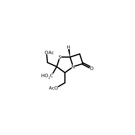 CC(=O)OCC1N2C(=O)C[C@H]2SC1(COC(C)=O)C(=O)O